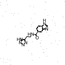 O=C(NCCc1nnn[nH]1)c1ccc2[nH]cnc2c1